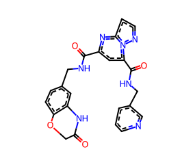 O=C1COc2ccc(CNC(=O)c3cc(C(=O)NCc4cccnc4)n4nccc4n3)cc2N1